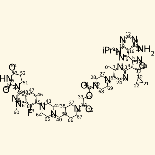 Cc1nc(-c2c(-c3nn(C(C)C)c4ncnc(N)c34)noc2C2CC2)ncc1N1CCN(C(=O)OCC(=O)N2CCC(CN3CCN(c4ccc5c(N6CCC(=O)NC6=O)nn(C)c5c4F)CC3)CC2)CC1